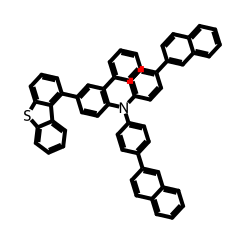 c1ccc(-c2cc(-c3cccc4sc5ccccc5c34)ccc2N(c2ccc(-c3ccc4ccccc4c3)cc2)c2ccc(-c3ccc4ccccc4c3)cc2)cc1